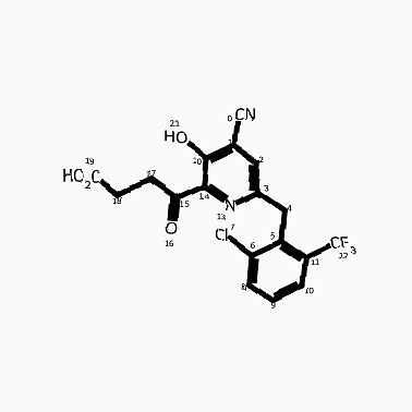 N#Cc1cc(Cc2c(Cl)cccc2C(F)(F)F)nc(C(=O)CCC(=O)O)c1O